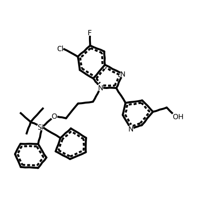 CC(C)(C)[Si](OCCCn1c(-c2cncc(CO)c2)nc2cc(F)c(Cl)cc21)(c1ccccc1)c1ccccc1